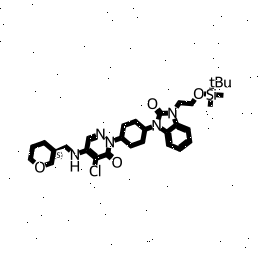 CC(C)(C)[Si](C)(C)OCCn1c(=O)n(C2CCC(n3ncc(NC[C@@H]4CCCOC4)c(Cl)c3=O)CC2)c2ccccc21